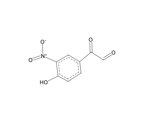 O=CC(=O)c1ccc(O)c([N+](=O)[O-])c1